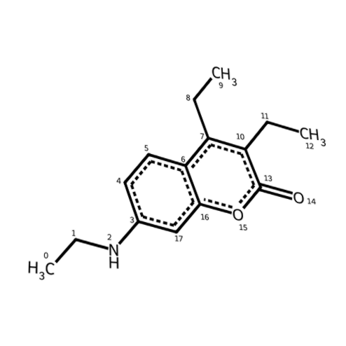 CCNc1ccc2c(CC)c(CC)c(=O)oc2c1